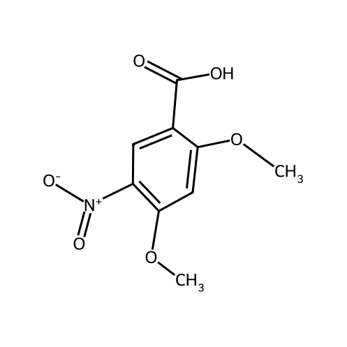 COc1cc(OC)c([N+](=O)[O-])cc1C(=O)O